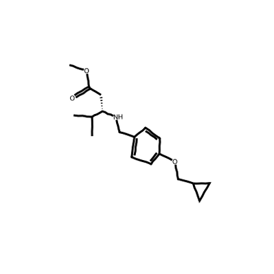 COC(=O)C[C@H](NCc1ccc(OCC2CC2)cc1)C(C)C